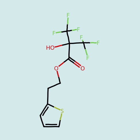 O=C(OCCc1cccs1)C(O)(C(F)(F)F)C(F)(F)F